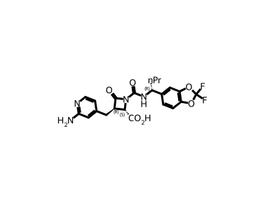 CCC[C@@H](NC(=O)N1C(=O)[C@H](Cc2ccnc(N)c2)[C@H]1C(=O)O)c1ccc2c(c1)OC(F)(F)O2